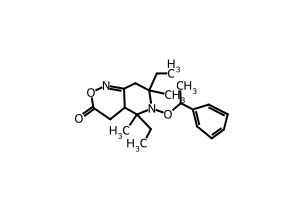 CCC1(C)CC2=NOC(=O)CC2C(C)(CC)N1OC(C)c1ccccc1